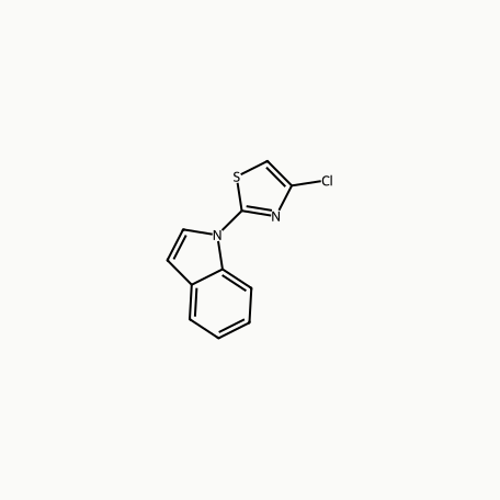 Clc1csc(-n2ccc3ccccc32)n1